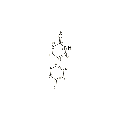 Cc1ccc(C2=NNC(=O)SC2)cc1